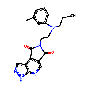 Cc1cccc(N(CCC#N)CCN2C(=O)c3cnc4[nH]ncc4c3C2=O)c1